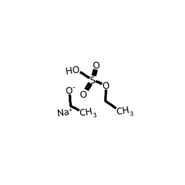 CCOS(=O)(=O)O.CC[O-].[Na+]